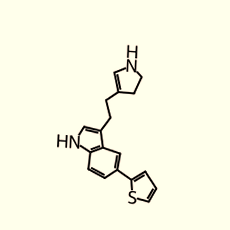 C1=C(CCc2c[nH]c3ccc(-c4cccs4)cc23)CCN1